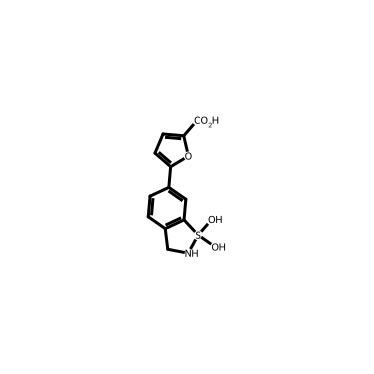 O=C(O)c1ccc(-c2ccc3c(c2)S(O)(O)NC3)o1